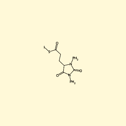 O=C(CCC1C(=O)N(P)C(=O)N1P)SI